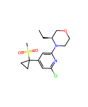 CC[C@H]1COCCN1c1cc(C2(S(C)(=O)=O)CC2)cc(Cl)n1